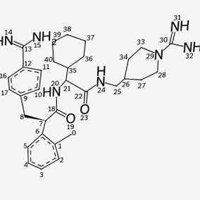 Cc1ccccc1[C@@H](Cc1ccc(C(=N)N)cc1)C(=O)NC(C(=O)NCC1CCN(C(=N)N)CC1)C1CCCCC1